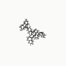 C1=CCC2C=Cc3cc(N(c4ccc(-n5c6ccccc6c6ccccc65)cc4)c4cccc5c4-c4ccccc4C54C5CC6CC(C5)CC4C6)ccc3C2=C1